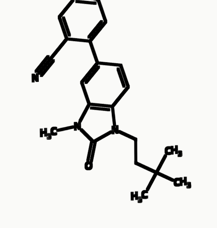 Cn1c(=O)n(CCC(C)(C)C)c2ccc(-c3ccccc3C#N)cc21